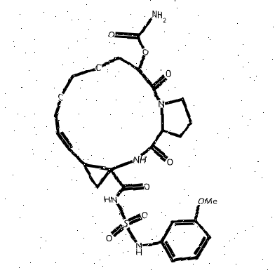 COc1cccc(NS(=O)(=O)NC(=O)C23CC2/C=C\CCCCCC(OC(N)=O)C(=O)N2CCCC2C(=O)N3)c1